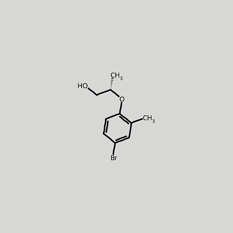 Cc1cc(Br)ccc1O[C@@H](C)CO